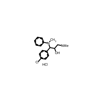 CNCC(O)C(c1ccc(Cl)cc1)N(C)c1ccccc1.Cl